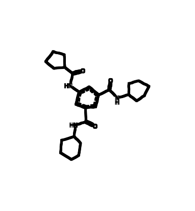 O=C(NC1CCCCC1)c1cc(NC(=O)C2CCCC2)cc(C(=O)NC2CCCCC2)c1